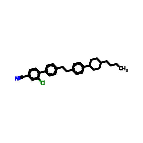 CCCCC1CCC(c2ccc(CCc3ccc(-c4ccc(C#N)cc4Cl)cc3)cc2)CC1